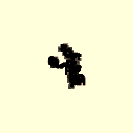 CCN(c1cc(C#CCN2CCOCC2)cc(C(=O)NCc2c(C)cc(C)[nH]c2=O)c1C)C1CCC(N(C)C)CC1